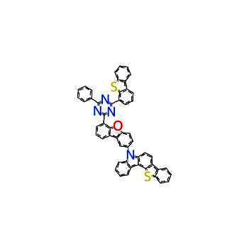 c1ccc(-c2nc(-c3cccc4c3oc3ccc(-n5c6ccccc6c6c7sc8ccccc8c7ccc65)cc34)nc(-c3cccc4c3sc3ccccc34)n2)cc1